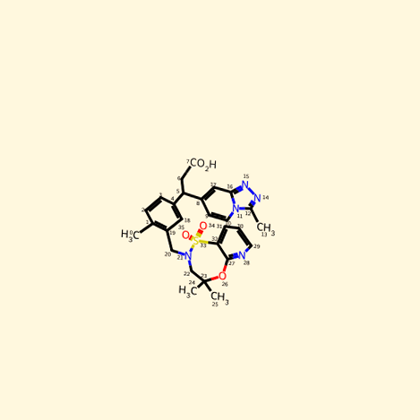 Cc1ccc(C(CC(=O)O)c2ccn3c(C)nnc3c2)cc1CN1CC(C)(C)Oc2ncccc2S1(=O)=O